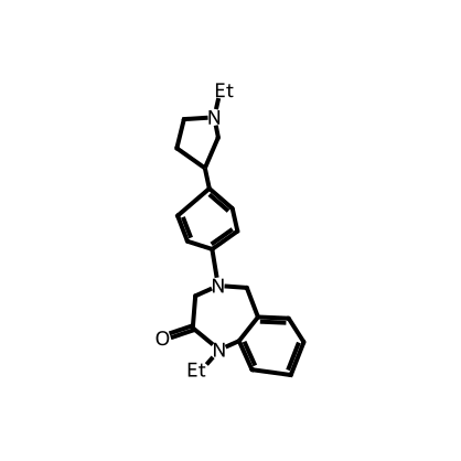 CCN1CCC(c2ccc(N3CC(=O)N(CC)c4ccccc4C3)cc2)C1